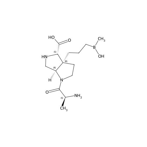 CB(O)CCC[C@]12CCN(C(=O)[C@H](C)N)[C@H]1CN[C@@H]2C(=O)O